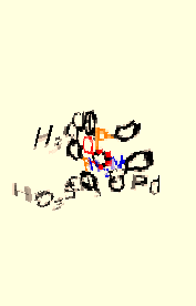 CC1(C)c2cccc(P(c3ccccc3)c3ccccc3)c2Oc2c(P(c3ccccc3)c3ccccc3)cccc21.CS(=O)(=O)O.Nc1ccccc1-c1[c-]cccc1.[Pd]